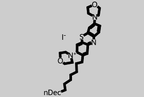 CCCCCCCCCCCCCCCCCc1cc2nc3ccc(N4CCOCC4)cc3sc-2cc1=[N+]1CCOCC1.[I-]